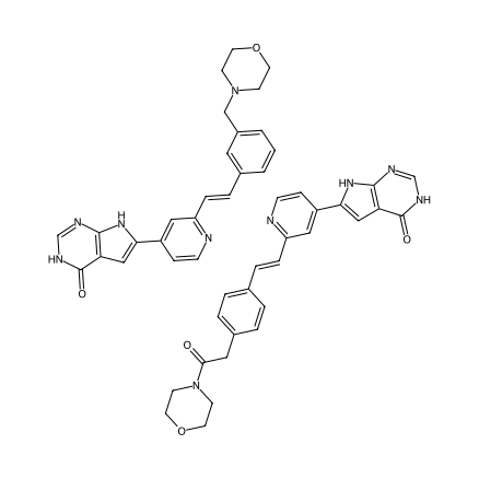 O=C(Cc1ccc(C=Cc2cc(-c3cc4c(=O)[nH]cnc4[nH]3)ccn2)cc1)N1CCOCC1.O=c1[nH]cnc2[nH]c(-c3ccnc(C=Cc4cccc(CN5CCOCC5)c4)c3)cc12